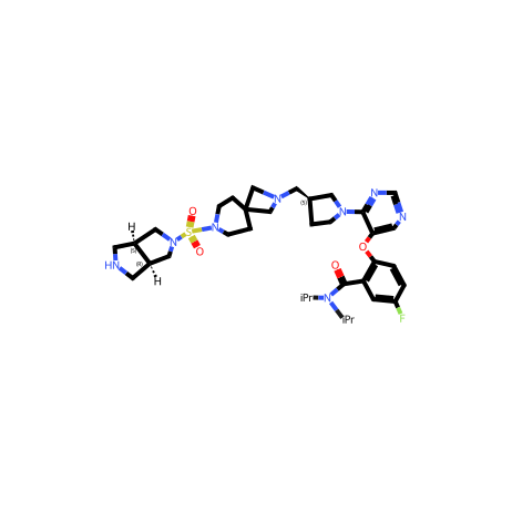 CC(C)N(C(=O)c1cc(F)ccc1Oc1cncnc1N1CC[C@@H](CN2CC3(CCN(S(=O)(=O)N4C[C@H]5CNC[C@H]5C4)CC3)C2)C1)C(C)C